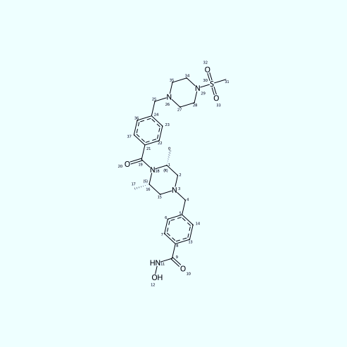 C[C@@H]1CN(Cc2ccc(C(=O)NO)cc2)C[C@H](C)N1C(=O)c1ccc(CN2CCN(S(C)(=O)=O)CC2)cc1